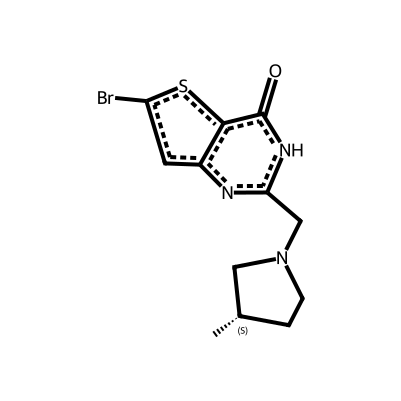 C[C@H]1CCN(Cc2nc3cc(Br)sc3c(=O)[nH]2)C1